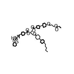 C=CC(=O)OCCCOc1ccc(-c2ccc(C(=O)OCC(COC3CCC(c4ccc(CCCCC)cc4)CC3)OC(=O)c3ccc(/C=N/Nc4nc5ccccc5s4)cc3)cc2)cc1